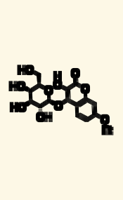 CCOc1ccc2c(O[C@@H]3O[C@H](CO)[C@H](O)[C@H](O)[C@H]3O)c(O)c(=O)oc2c1